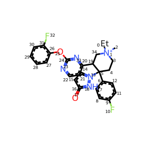 CC[N+]1(C)CCC(c2ccc(F)cc2)(n2ccc(=O)[nH]2)C(c2ccnc(Oc3ccccc3F)n2)C1